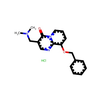 CN(C)Cc1cnc2c(OCc3ccccc3)cccn2c1=O.Cl